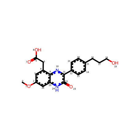 COc1cc(CC(=O)O)c2nc(-c3ccc(CCCO)cc3)c(=O)[nH]c2c1